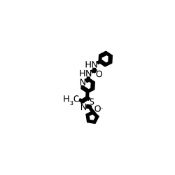 Cc1nc(C2([O])CCCC2)sc1-c1ccc(NC(=O)Nc2ccccc2)nc1